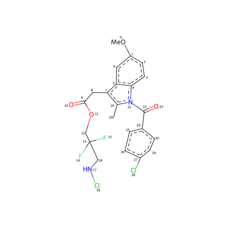 COc1ccc2c(c1)c(CC(=O)OCC(F)(F)CNCl)c(C)n2C(=O)c1ccc(Cl)cc1